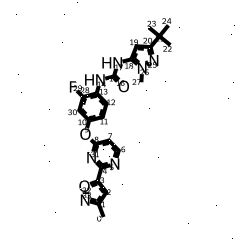 Cc1cc(-c2nccc(Oc3ccc(NC(=O)Nc4cc(C(C)(C)C)nn4C)c(F)c3)n2)on1